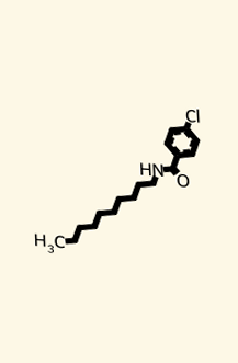 CCCCCCCCCCNC(=O)c1ccc(Cl)cc1